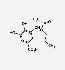 CCCOC(C)=O.O=C(O)c1cc(O)c(O)c(O)c1